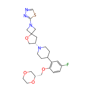 Fc1ccc(OC[C@H]2COCCO2)c(C2CCN([C@@H]3COC4(C3)CN(c3nncs3)C4)CC2)c1